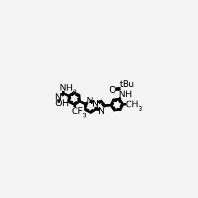 Cc1ccc(-c2cn3nc(-c4ccc(/C(N)=N\O)cc4C(F)(F)F)ccc3n2)cc1NC(=O)C(C)(C)C